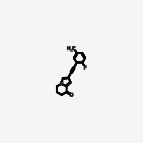 Cc1ccc(F)c(C#Cc2cc3n(c2)CCCC3=O)c1